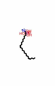 CCC/C=C\CCCCCCC/C=C\CCCCCCCC(O)(C[N+](C)(C)C)P(=O)(O)O